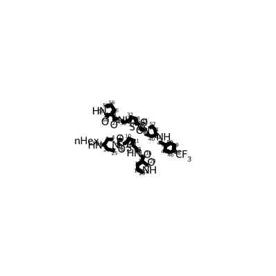 CCCCCCNC1CCN(S(=O)(=O)c2ccc(CNC(=O)c3ccc[nH]c3=O)s2)CC1.O=C(NCc1ccc(S(=O)(=O)N2CCC(NCc3ccc(C(F)(F)F)cc3)CC2)s1)c1ccc[nH]c1=O